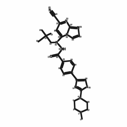 CN1CCN(c2nc(-c3ccc(C(=O)NN(CC(C)(C)C)c4cc(C#N)nc5nccn45)cc3)cs2)CC1